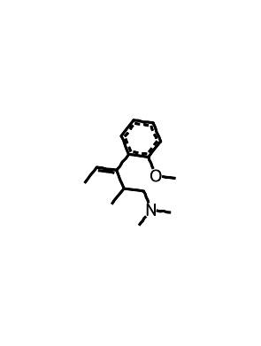 CC=C(c1ccccc1OC)C(C)CN(C)C